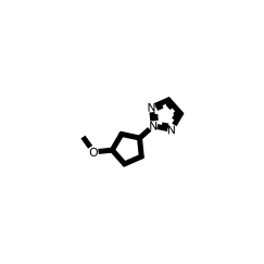 COC1CCC(n2nccn2)C1